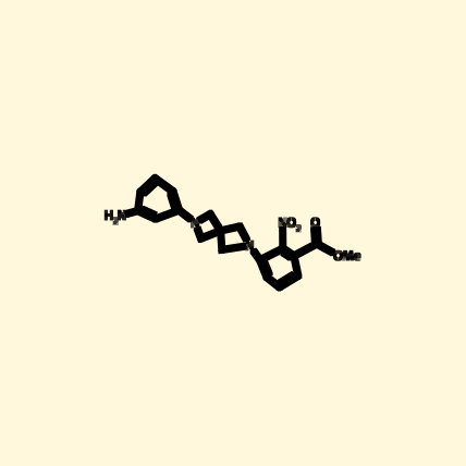 COC(=O)c1cccc(N2CC3(CN(c4cccc(N)c4)C3)C2)c1[N+](=O)[O-]